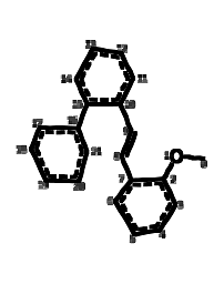 COc1ccccc1C=Cc1ccccc1-c1ccccc1